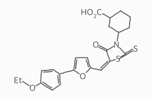 CCOc1ccc(-c2ccc(/C=C3/SC(=S)N(C4CCCC(C(=O)O)C4)C3=O)o2)cc1